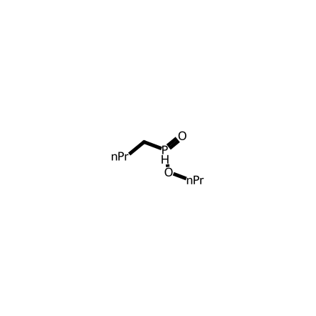 CCCC[PH](=O)OCCC